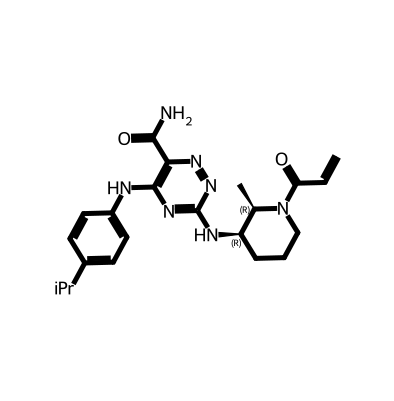 C=CC(=O)N1CCC[C@@H](Nc2nnc(C(N)=O)c(Nc3ccc(C(C)C)cc3)n2)[C@H]1C